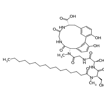 CCCCCCCCCCCCCCCC(=O)N(C)[C@H](CO)C(=O)N[C@H](C)C(=O)NCC(=O)N(C)[C@@H]1C(=O)NCC(=O)N[C@H](C(=O)O)Cc2ccc(O)c(c2)-c2cc1ccc2O